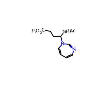 CC(=O)NC(CCC(=O)O)N1C=CC=CN=C1